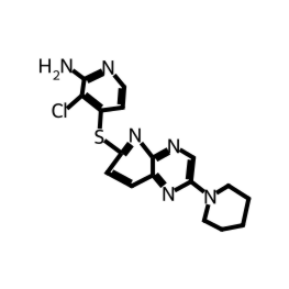 Nc1nccc(Sc2ccc3nc(N4CCCCC4)cnc3n2)c1Cl